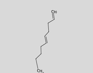 [CH]=CCCC=CCCCC